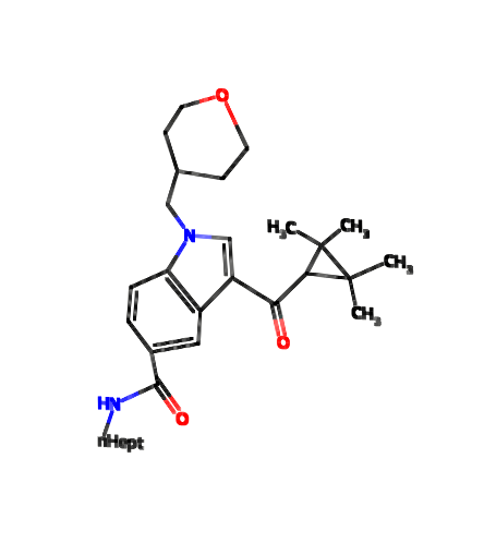 CCCCCCCNC(=O)c1ccc2c(c1)c(C(=O)C1C(C)(C)C1(C)C)cn2CC1CCOCC1